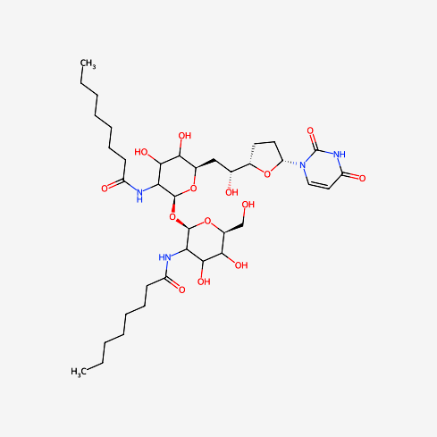 CCCCCCCC(=O)NC1C(O)C(O)[C@H](CO)O[C@@H]1O[C@@H]1O[C@H](C[C@@H](O)[C@@H]2CC[C@H](n3ccc(=O)[nH]c3=O)O2)C(O)C(O)C1NC(=O)CCCCCCC